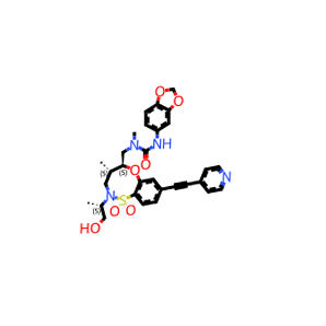 C[C@H]1CN([C@@H](C)CO)S(=O)(=O)c2ccc(C#Cc3ccncc3)cc2O[C@@H]1CN(C)C(=O)Nc1ccc2c(c1)OCO2